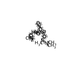 CCN(CC)CCN(C)Cc1cccc(C(=O)Nc2ccc(N3CCOCC3)cc2C(=O)N/N=C/c2ccc(Cl)c(C(F)(F)F)c2)c1